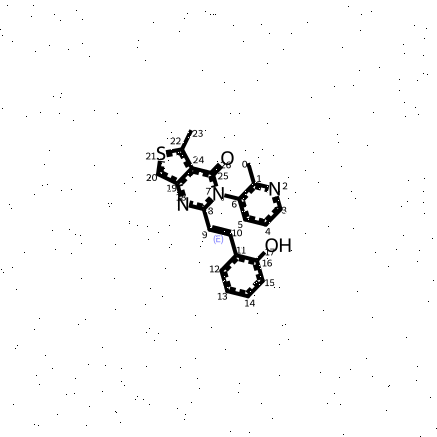 Cc1ncccc1-n1c(/C=C/c2ccccc2O)nc2csc(C)c2c1=O